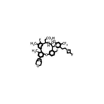 Cc1cc2cc(c1F)C(CC(=O)O)NC(=O)C(n1cc(CCN3CC(F)C3)c(C(F)(F)F)cc1=O)c1cc(ccc1F)Oc1cc(N3C4CCC3COC4)cc(C)c1-2